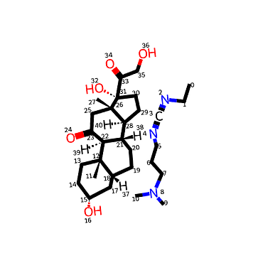 CCN=C=NCCCN(C)C.C[C@]12CC[C@@H](O)C[C@H]1CC[C@@H]1[C@@H]2C(=O)C[C@@]2(C)[C@H]1CC[C@]2(O)C(=O)CO